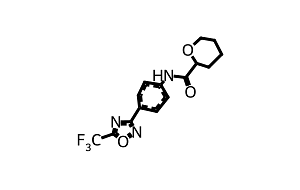 O=C(Nc1ccc(-c2noc(C(F)(F)F)n2)cc1)C1CCCCO1